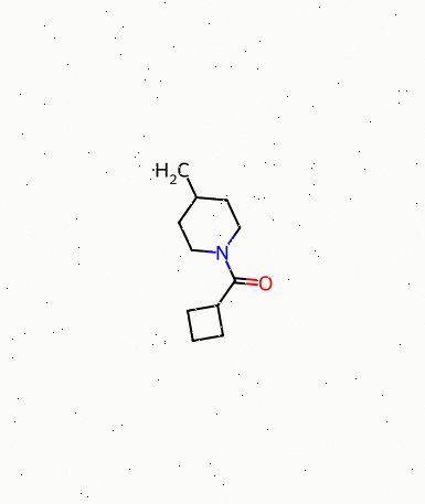 [CH2]C1CCN(C(=O)C2CCC2)CC1